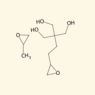 CC1CO1.OCC(CO)(CO)CCC1CO1